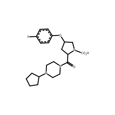 O=C(C1CC(Oc2ccc(F)cc2)CN1C(=O)O)N1CCN(C2CCCC2)CC1